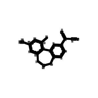 COC(=O)c1ccc2c(c1)-c1c(C)cc(O)cc1COC2